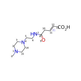 CN1CCN(CCNC(=O)C/C=C/C(=O)O)CC1